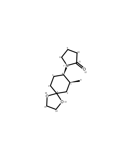 C[C@H]1CC2(CC[C@H]1N1CCCC1=O)OCCO2